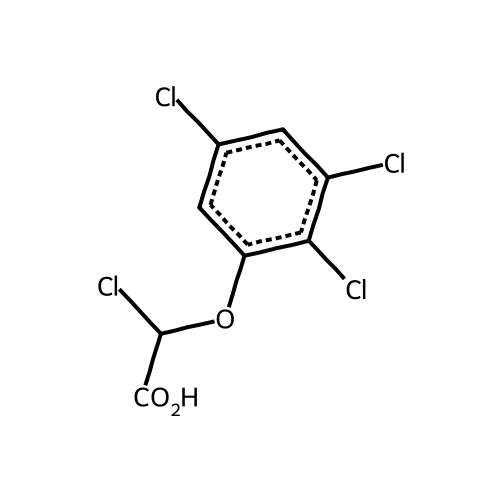 O=C(O)C(Cl)Oc1cc(Cl)cc(Cl)c1Cl